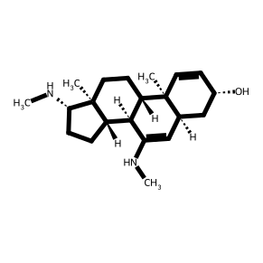 CNC1=C[C@@H]2C[C@@H](O)C=C[C@]2(C)[C@H]2CC[C@]3(C)[C@@H](NC)CC[C@H]3[C@H]12